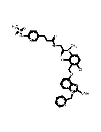 COc1nc2c(OCc3c(Cl)ccc(N(C)C(=O)CNC(=O)CCc4ccc(NS(C)(=O)=O)nc4)c3Cl)cccc2n1Cc1ccccn1